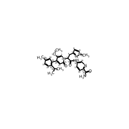 COc1cn(C(Cc2ccn(C)n2)C(=O)Nc2ccc(C(N)=O)nc2)c(=O)cc1-c1cc(C)ccc1C(C)C